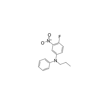 CCCN(c1ccccc1)c1ccc(F)c([N+](=O)[O-])c1